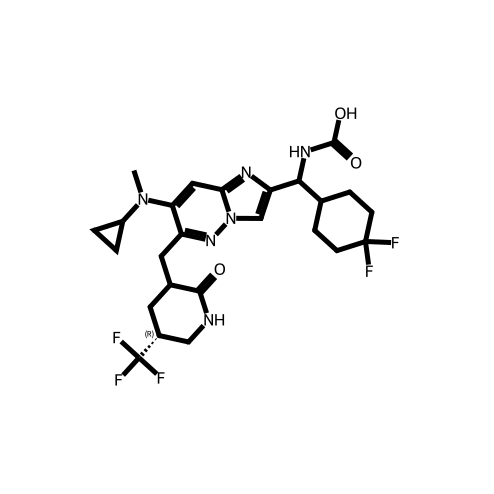 CN(c1cc2nc(C(NC(=O)O)C3CCC(F)(F)CC3)cn2nc1CC1C[C@@H](C(F)(F)F)CNC1=O)C1CC1